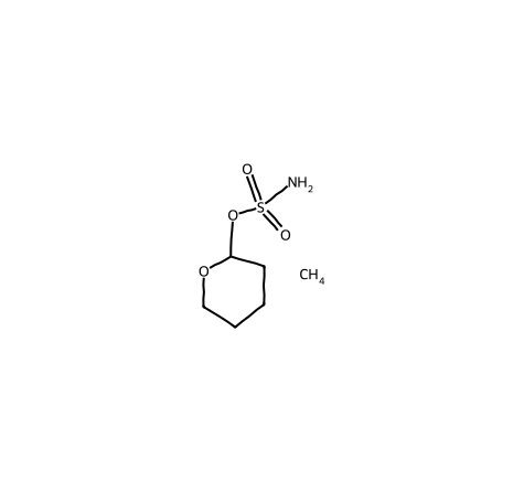 C.NS(=O)(=O)OC1CCCCO1